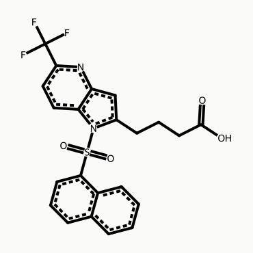 O=C(O)CCCc1cc2nc(C(F)(F)F)ccc2n1S(=O)(=O)c1cccc2ccccc12